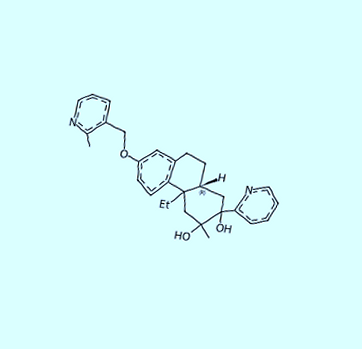 CCC12CC(C)(O)C(O)(c3ccccn3)C[C@H]1CCc1cc(OCc3cccnc3C)ccc12